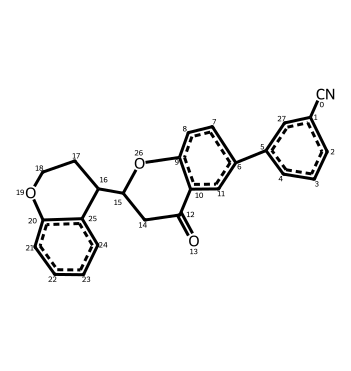 N#Cc1cccc(-c2ccc3c(c2)C(=O)CC(C2CCOc4ccccc42)O3)c1